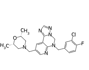 C[C@@H]1CN(Cc2cnc3c(c2)-c2ncnn2CN3Cc2ccc(F)c(Cl)c2)C[C@H](C)O1